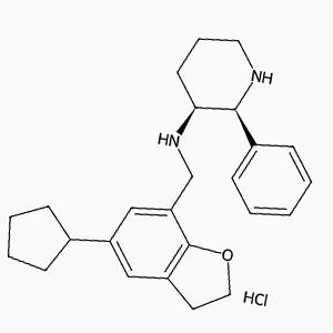 Cl.c1ccc([C@@H]2NCCC[C@@H]2NCc2cc(C3CCCC3)cc3c2OCC3)cc1